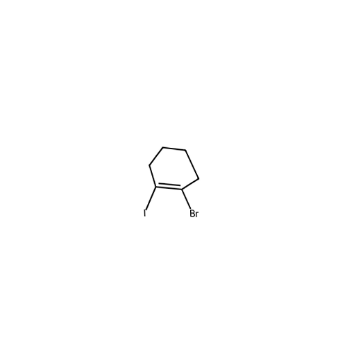 BrC1=C(I)CCCC1